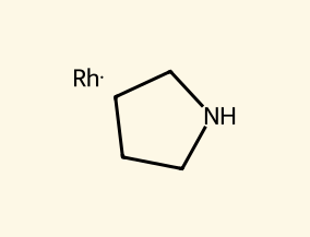 C1CCNC1.[Rh]